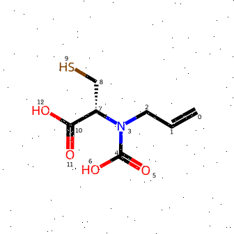 C=CCN(C(=O)O)[C@@H](CS)C(=O)O